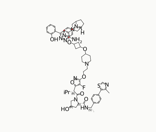 Cc1ncsc1-c1ccc([C@H](C)NC(=O)[C@@H]2C[C@@H](O)CN2C(=O)[C@@H](c2onc(OCCN3CCC(OC4CC(Oc5cc(N6C7CC[C@@H]6CN(c6cc(-c8ccccc8O)nnc6N)C7)ccn5)C4)CC3)c2F)C(C)C)cc1